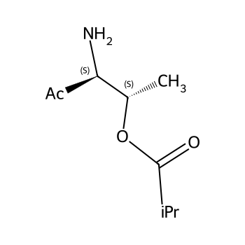 CC(=O)[C@@H](N)[C@H](C)OC(=O)C(C)C